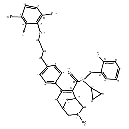 CC(=O)N1CC2CC(c3ccc(CCCOc4c(F)ccc(F)c4F)cc3)=C(C(=O)N(Cc3ccccc3F)C3CC3)C(C1)N2